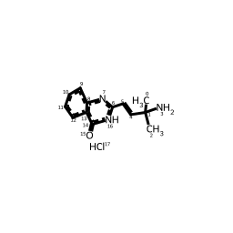 CC(C)(N)/C=C/c1nc2ccccc2c(=O)[nH]1.Cl